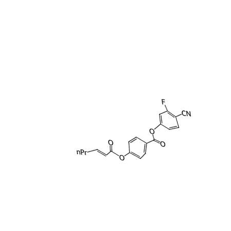 CCCC=CC(=O)Oc1ccc(C(=O)Oc2ccc(C#N)c(F)c2)cc1